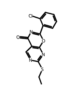 CCSc1ncc2c(=O)nc(-c3ccccc3Cl)oc2n1